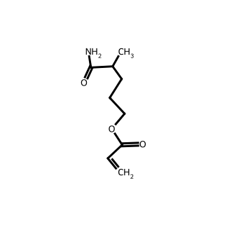 C=CC(=O)OCCCC(C)C(N)=O